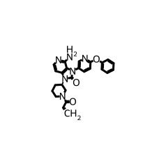 C=CC(=O)N1CCC[C@@H](n2c(=O)n(-c3ccc(Oc4ccccc4)nc3)c3c(N)nccc32)C1